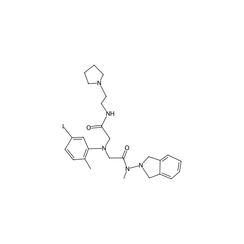 Cc1ccc(I)cc1N(CC(=O)NCCN1CCCC1)CC(=O)N(C)N1Cc2ccccc2C1